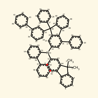 CC1(C)c2ccccc2-c2ccc(N(c3cc(-c4ccccc4)c4c(c3)C(c3ccccc3)(c3cccc(-c5ccccc5)c3)c3ccccc3-4)c3ccccc3-c3ccccc3)cc21